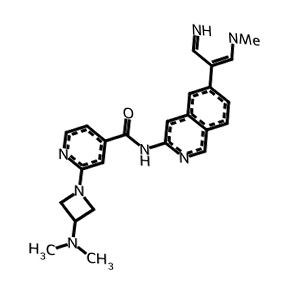 CN/C=C(\C=N)c1ccc2cnc(NC(=O)c3ccnc(N4CC(N(C)C)C4)c3)cc2c1